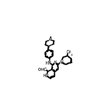 CN1CCC(c2ccc(Nc3nc(N4CCCC(C(F)(F)F)C4)cc4c3C(C=O)NC=C4)cc2)CC1